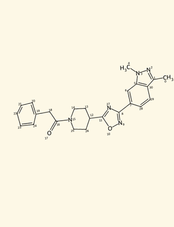 Cc1nn(C)c2cc(-c3noc(C4CCN(C(=O)Cc5ccccc5)CC4)n3)ccc12